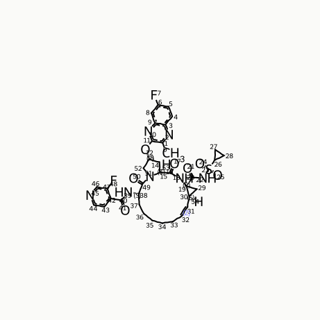 Cc1nc2ccc(F)cc2nc1O[C@@H]1C[C@H]2C(=O)N[C@]3(C(=O)NS(=O)(=O)C4CC4)C[C@H]3/C=C\CCCCC[C@H](NC(=O)c3ccncc3F)C(=O)N2C1